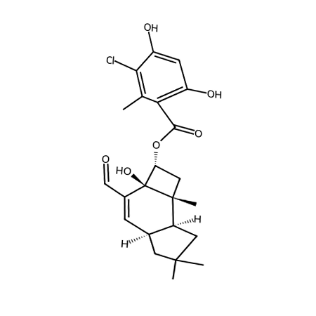 Cc1c(Cl)c(O)cc(O)c1C(=O)O[C@@H]1C[C@]2(C)[C@H]3CC(C)(C)C[C@H]3C=C(C=O)[C@]12O